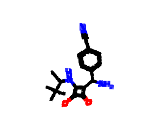 CC(Nc1c(C(N)c2ccc(C#N)cc2)c(=O)c1=O)C(C)(C)C